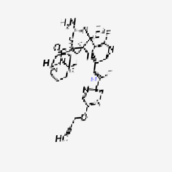 C#CCOc1cnc(/C(F)=C/c2cnc(F)c([C@@]3(C)N=C(N)S[C@@]4(C(=O)N5[C@H]6CCC[C@H]5COC6)C[C@H]43)c2)cn1